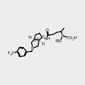 CC(CCC(=O)N[C@H]1CC[C@@H]2CN(Cc3ccc(C(F)(F)F)cc3)C[C@@H]21)N(C(=O)O)C(C)(C)C